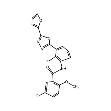 COc1ccc(Cl)cc1C(=O)Nc1cccc(-c2nnc(-c3ccco3)o2)c1F